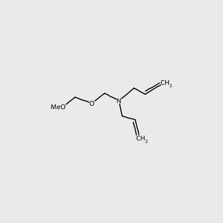 C=CCN(CC=C)COCOC